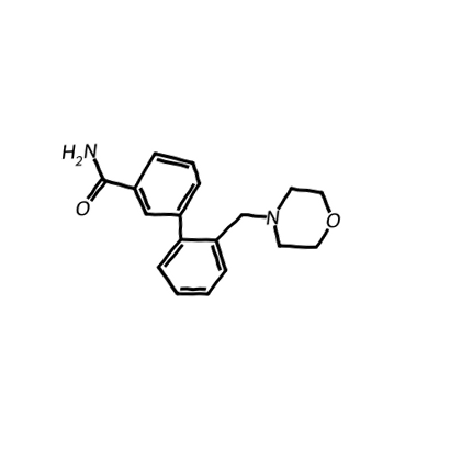 NC(=O)c1cccc(-c2ccccc2CN2CCOCC2)c1